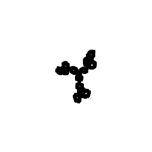 c1ccc(-n2c3ccccc3c3cc(-c4ccc(N(c5ccc(-c6cccc7c6oc6ccccc67)cc5)c5ccc(-c6cccc7c6oc6ccccc67)cc5)cc4)ccc32)cc1